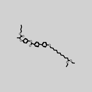 CCCCOC(=O)C(C)Oc1ccc(OC(=O)c2ccc(-c3ccc(OCCCCCCCCCCC(OCC)OCC)cc3)cc2)cc1